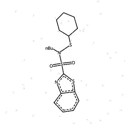 CCCCN(SC1CCCCC1)S(=O)(=O)c1nc2ccccc2s1